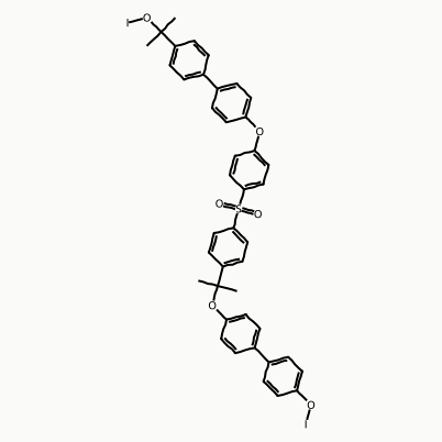 CC(C)(OI)c1ccc(-c2ccc(Oc3ccc(S(=O)(=O)c4ccc(C(C)(C)Oc5ccc(-c6ccc(OI)cc6)cc5)cc4)cc3)cc2)cc1